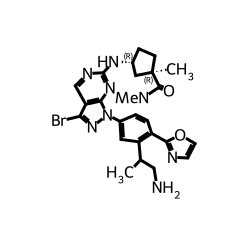 CNC(=O)[C@]1(C)CC[C@@H](Nc2ncc3c(Br)nn(-c4ccc(-c5ncco5)c(C(C)CN)c4)c3n2)C1